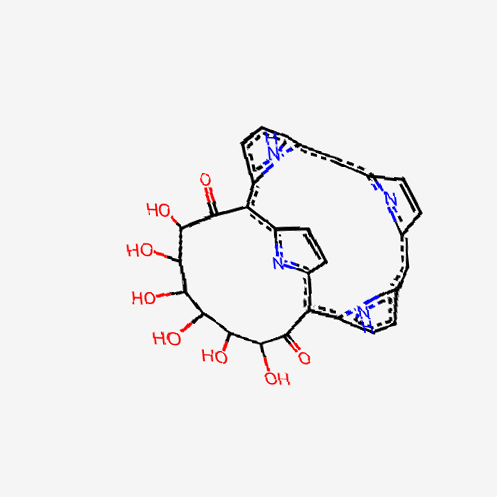 O=C1c2c3nc(c(c4ccc(cc5nc(cc6ccc2[nH]6)C=C5)[nH]4)C(=O)C(O)C(O)C(O)C(O)C(O)C1O)C=C3